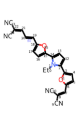 CCn1c(-c2ccc(C=C(C#N)C#N)o2)ccc1-c1ccc(/C=C/C=C(C#N)C#N)o1